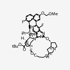 COCOc1cc(-c2ncc3c4nc(nc3c2F)OC[C@]23CCCN2C[C@@H](C3)OCCCOC[C@@]23CC[C@@H](CN4C2)N3C(=O)OC(C)(C)C)c2c(C#C[Si](C(C)C)(C(C)C)C(C)C)c(F)ccc2c1